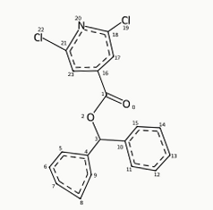 O=C(OC(c1ccccc1)c1ccccc1)c1cc(Cl)nc(Cl)c1